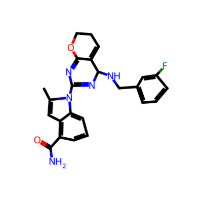 Cc1cc2c(C(N)=O)cccc2n1C1=NC(NCc2cccc(F)c2)C2=CCCOC2=N1